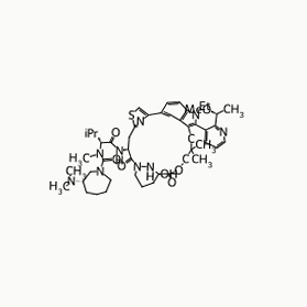 CCn1c(-c2cccnc2[C@H](C)OC)c2c3cc(ccc31)-c1csc(n1)C[C@H](NC(=O)[C@H](C(C)C)N(C)C(=O)N1CCCC[C@H](N(C)C)C1)C(=O)N1CCC[C@@](O)(N1)C(=O)OCC(C)(C)C2